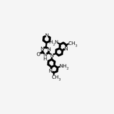 Cc1cc(N)c2cc(N(c3ccc4nc(C)cc(N)c4c3)c3nc(-c4ccncc4)nc(=O)[nH]3)ccc2n1